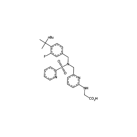 CCCCC(C)(C)c1ccc(CN(Cc2cccc(NCC(=O)O)n2)S(=O)(=O)c2ccccn2)cc1F